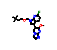 COc1nc2nccn2cc1-c1cn(COCC[Si](C)(C)C)c2nc(Cl)ccc12